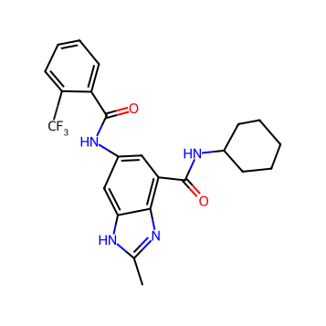 Cc1nc2c(C(=O)NC3CCCCC3)cc(NC(=O)c3ccccc3C(F)(F)F)cc2[nH]1